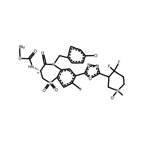 CC(C)(C)OC(=O)N[C@H]1CS(=O)(=O)c2cc(F)c(-c3nnc(C4C[N+](C)([O-])CCC4(F)F)o3)cc2N(Cc2ccc(Cl)cc2)C1=O